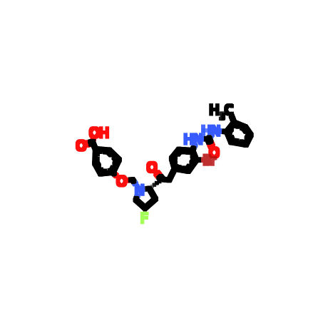 Cc1ccccc1NC(=O)Nc1ccc(CC(=O)[C@@H]2C[C@H](F)CN2COc2ccc(C(=O)O)cc2)cc1Br